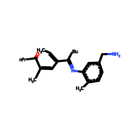 C/C=C(\C=C(\C)C(=O)CCC)C(=N/c1cc(CN)ccc1C)/C(C)CC